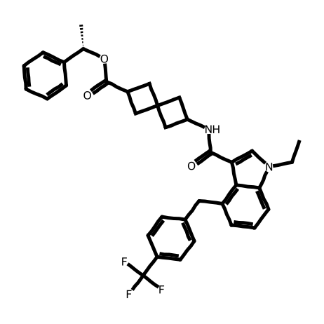 CCn1cc(C(=O)NC2CC3(C2)CC(C(=O)O[C@@H](C)c2ccccc2)C3)c2c(Cc3ccc(C(F)(F)F)cc3)cccc21